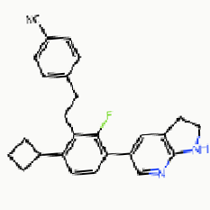 N#Cc1ccc(CCc2c(C3CCC3)ccc(-c3cnc4c(c3)CCN4)c2F)cc1